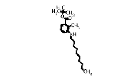 CCCCCCCCCCNc1cccc(C(=O)OC(C)(C)C)c1C